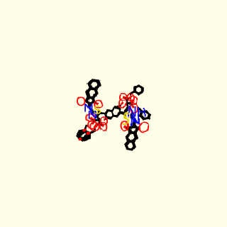 O=C(OCc1ccccc1)C1(C(=O)OCc2ccccc2)OC2=CC3C=C4C(=CC3C=C2C2=C1NC(N=c1c(=O)c3cc5ccccc5cc3c1=O)S2)OC(C(=O)OCc1ccccc1)(C(=O)OCc1ccccc1)c1nc(N=c2c(=O)c3cc5ccccc5cc3c2=O)sc14